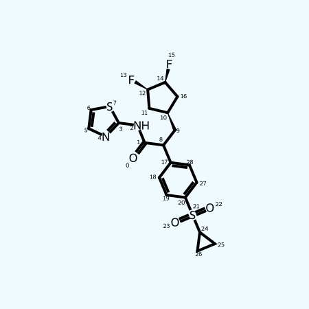 O=C(Nc1nccs1)C(C[C@H]1C[C@@H](F)[C@@H](F)C1)c1ccc(S(=O)(=O)C2CC2)cc1